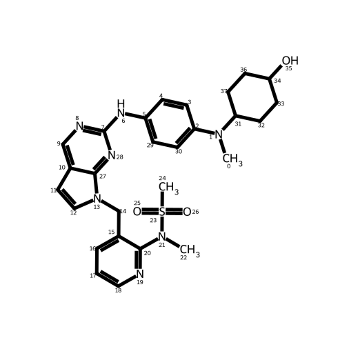 CN(c1ccc(Nc2ncc3ccn(Cc4cccnc4N(C)S(C)(=O)=O)c3n2)cc1)C1CCC(O)CC1